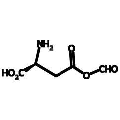 N[C@@H](CC(=O)OC=O)C(=O)O